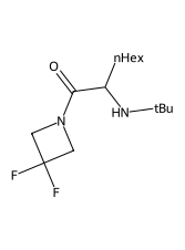 CCCCCCC(NC(C)(C)C)C(=O)N1CC(F)(F)C1